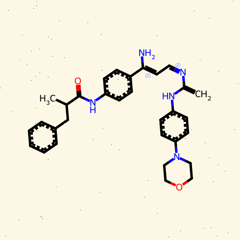 C=C(/N=C\C=C(/N)c1ccc(NC(=O)C(C)Cc2ccccc2)cc1)Nc1ccc(N2CCOCC2)cc1